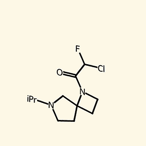 CC(C)N1CCC2(CCN2C(=O)C(F)Cl)C1